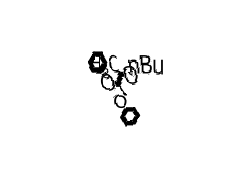 CCCCO[C@@H](C)[C@@H](COc1ccccc1)Oc1ccccc1